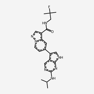 CC(C)Nc1ncc2c(-c3ccn4ncc(C(=O)NCC(C)(C)F)c4c3)c[nH]c2n1